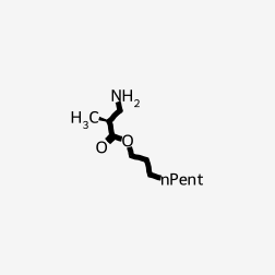 CCCCCCCCOC(=O)[C@@H](C)CN